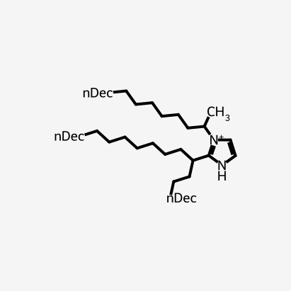 CCCCCCCCCCCCCCCCCC(CCCCCCCCCCCC)c1[nH]cc[n+]1C(C)CCCCCCCCCCCCCCCC